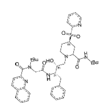 CC(C)(C)NC(=O)C1C[C@H](S(=O)(=O)c2ccccn2)CCN1C[C@@H](O)[C@H](Cc1ccccc1)NC(=O)CN(C(=O)c1ccc2ccccc2n1)C(C)(C)C